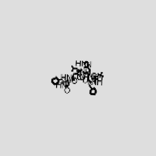 CC(C)C[C@H](NC(=O)[C@H](Cc1c[nH]cn1)NC(=O)[C@H](Cc1ccccc1)NC(=O)OC(C)(C)C)[C@@H](O)CC(=O)N[C@@H]1CC(=O)N[C@H]1Cc1ccccc1